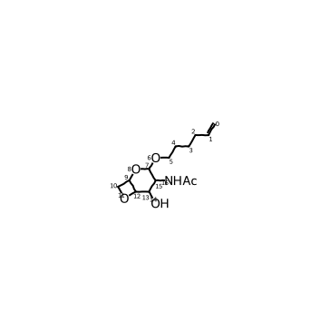 C=CCCCCOC1OC2COC2C(O)C1NC(C)=O